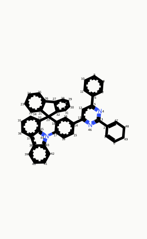 C1=CC(c2nc(-c3ccccc3)cc(-c3ccc4c(c3)C3(c5ccccc5-c5ccccc53)c3cccc5c6ccccc6n-4c35)n2)=CCC1